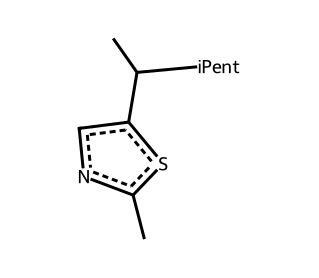 CCCC(C)C(C)c1cnc(C)s1